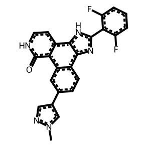 Cn1cc(-c2ccc3c(c2)c2c(=O)[nH]ccc2c2[nH]c(-c4c(F)cccc4F)nc32)cn1